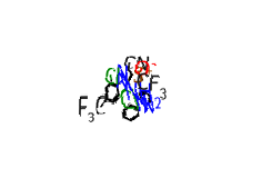 N#Cc1nn(-c2c(Cl)cc(C(F)(F)F)cc2Cl)c(N)c1[S+]([O-])C(F)(F)F.c1ccc(-n2cccn2)cc1